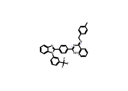 Cc1ccc(C/N=C(\N=C(/N)c2ccc(-c3nc4ccccc4n3-c3cccc(C(F)(F)F)c3)cc2)c2ccccc2)cc1